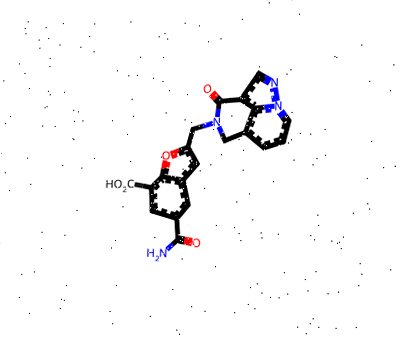 NC(=O)c1cc(C(=O)O)c2oc(CN3Cc4cccn5ncc(c45)C3=O)cc2c1